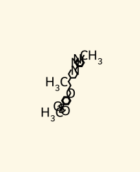 Cc1ccc(N2CCC([C@H](C)CCOc3ccc(S(C)(=O)=O)cc3)CC2)nn1